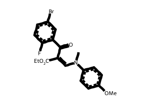 CCOC(=O)C(=CN(C)c1ccc(OC)cc1)C(=O)c1cc(Br)ccc1F